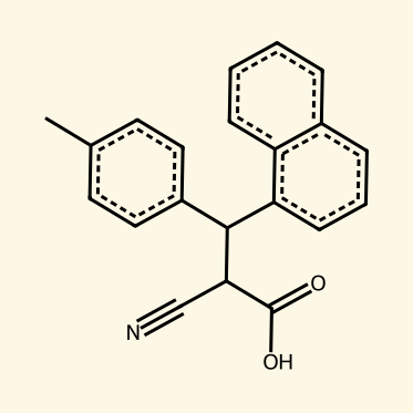 Cc1ccc(C(c2cccc3ccccc23)C(C#N)C(=O)O)cc1